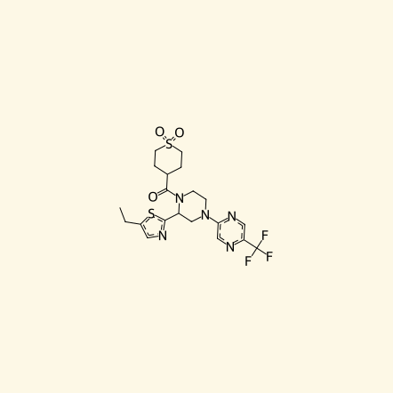 CCc1cnc(C2CN(c3cnc(C(F)(F)F)cn3)CCN2C(=O)C2CCS(=O)(=O)CC2)s1